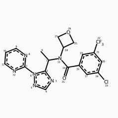 CC(c1ncnn1-c1ncccn1)N(C(=O)c1cc(Cl)cc(C(F)(F)F)c1)C1COC1